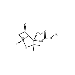 CC(C)(C)OC(=O)N[C@@]1(C(=O)O)N2C(=O)C[C@H]2SC1(C)C